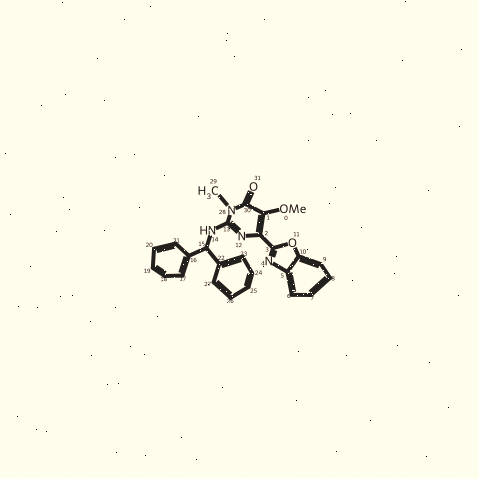 COc1c(-c2nc3ccccc3o2)nc(NC(c2ccccc2)c2ccccc2)n(C)c1=O